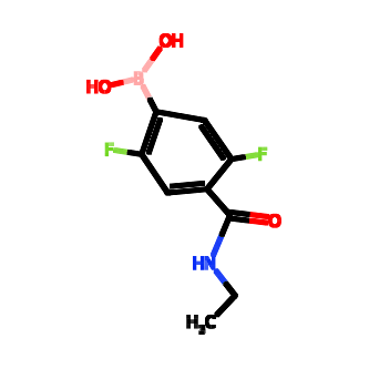 CCNC(=O)c1cc(F)c(B(O)O)cc1F